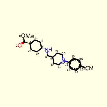 COC(=O)[C@H]1CC[C@H](NCC2CCN(c3ccc(C#N)cc3)CC2)CC1